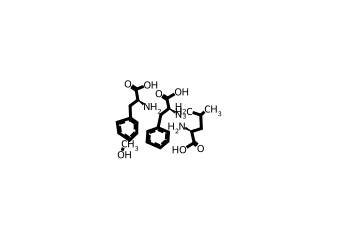 CC(C)C[C@H](N)C(=O)O.CO.N[C@@H](Cc1ccccc1)C(=O)O.N[C@@H](Cc1ccccc1)C(=O)O